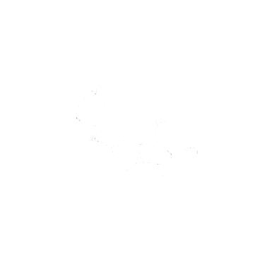 CC1c2cc(Nc3ccncn3)ccc2C(=O)N1C